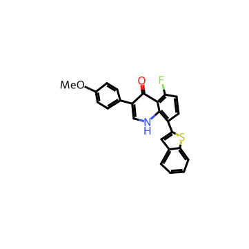 COc1ccc(-c2c[nH]c3c(-c4cc5ccccc5s4)ccc(F)c3c2=O)cc1